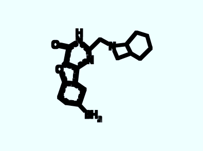 Bc1ccc2oc3c(=O)[nH]c(CN4CC5CCCCC54)nc3c2c1